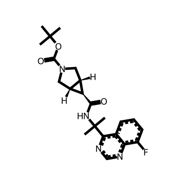 CC(C)(C)OC(=O)N1C[C@@H]2[C@H](C1)[C@H]2C(=O)NC(C)(C)c1ncnc2c(F)cccc12